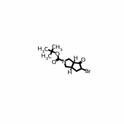 CC(C)(C)OC(=O)N1C[C@H]2CC(Br)C(=O)[C@H]2C1